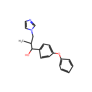 CC(Cn1ccnc1)C(O)c1ccc(Oc2ccccc2)cc1